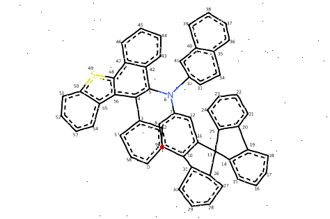 c1ccc(-c2c(N(c3ccc4c(c3)C3(c5ccccc5-c5ccccc53)c3ccccc3-4)c3ccc4ccccc4c3)c3ccccc3c3sc4ccccc4c23)cc1